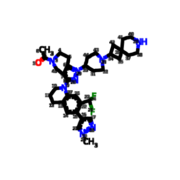 CC(=O)N1CCc2c(c(N3CCCc4cc(-c5cnn(C)c5)c(C(F)F)cc43)nn2C2CCN(C3CC4(CCNCC4)C3)CC2)C1